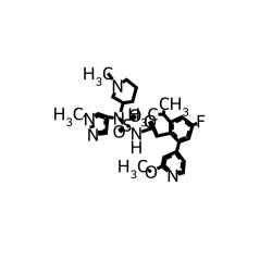 COc1cc(-c2cc(F)cc(C(C)C)c2CC(=O)NS(=O)(=O)N(c2cnn(C)c2)C2CCCN(C)C2)ccn1